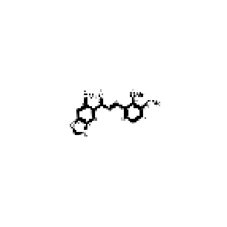 COc1cc2c(cc1C(=O)/C=C/c1cccc(OC)c1OC)SCO2